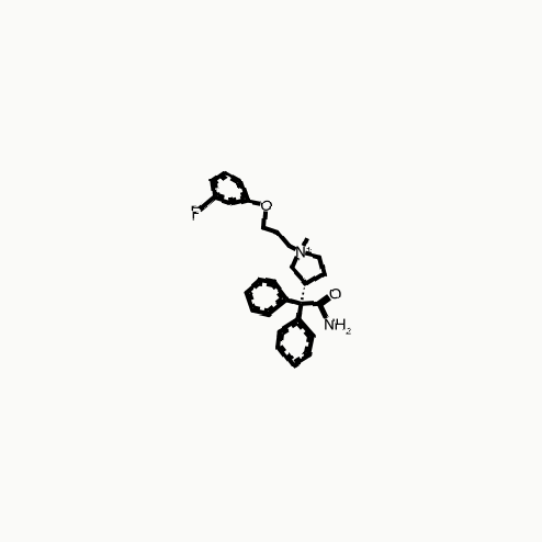 C[N+]1(CCCOc2cccc(F)c2)CC[C@H](C(C(N)=O)(c2ccccc2)c2ccccc2)C1